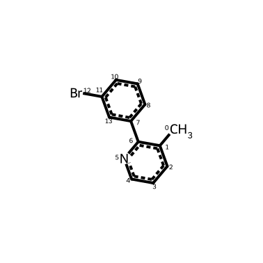 Cc1cccnc1-c1cccc(Br)c1